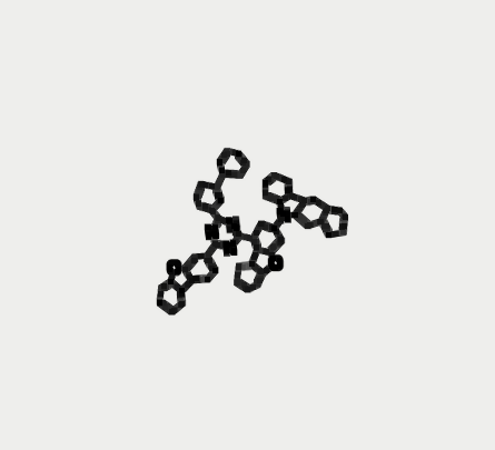 c1ccc(-c2cccc(-c3nc(-c4ccc5c(c4)oc4ccccc45)nc(-c4cc(-n5c6ccccc6c6cc7ccccc7cc65)cc5oc6ccccc6c45)n3)c2)cc1